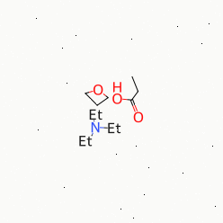 C1COC1.CCC(=O)O.CCN(CC)CC